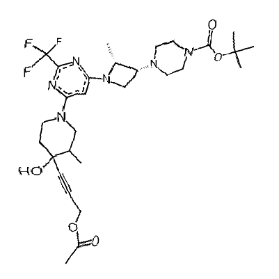 CC(=O)OCC#CC1(O)CCN(c2cc(N3C[C@@H](N4CCN(C(=O)OC(C)(C)C)CC4)[C@H]3C)nc(C(F)(F)F)n2)CC1C